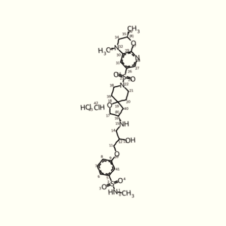 CNS(=O)(=O)c1cccc(OCC(O)CN[C@H]2COC3(CCN(S(=O)(=O)c4cnc5c(c4)N(C)C[C@@H](C)O5)CC3)C2)c1.Cl.Cl